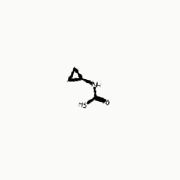 O=C(S)NC1CC1